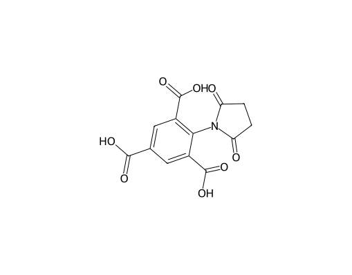 O=C(O)c1cc(C(=O)O)c(N2C(=O)CCC2=O)c(C(=O)O)c1